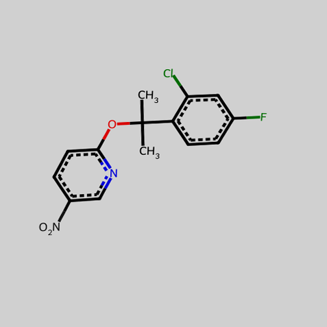 CC(C)(Oc1ccc([N+](=O)[O-])cn1)c1ccc(F)cc1Cl